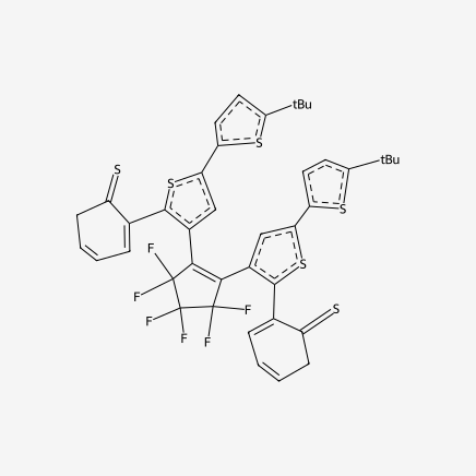 CC(C)(C)c1ccc(-c2cc(C3=C(c4cc(-c5ccc(C(C)(C)C)s5)sc4C4=CC=CCC4=S)C(F)(F)C(F)(F)C3(F)F)c(C3=CC=CCC3=S)s2)s1